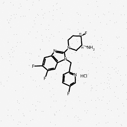 Cl.N[C@@H]1CN(c2nc3cc(F)c(F)cc3n2Cc2ccc(F)cn2)CC[C@H]1F